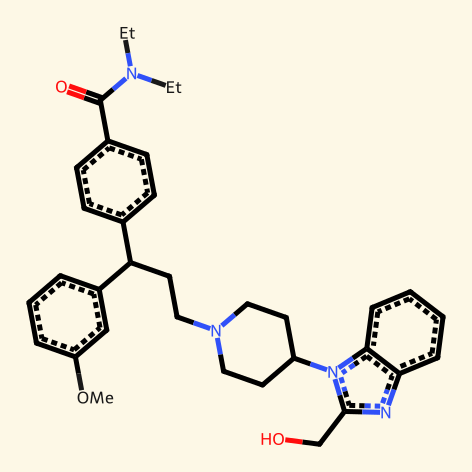 CCN(CC)C(=O)c1ccc(C(CCN2CCC(n3c(CO)nc4ccccc43)CC2)c2cccc(OC)c2)cc1